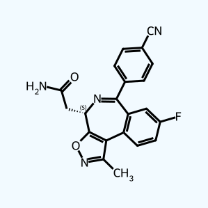 Cc1noc2c1-c1ccc(F)cc1C(c1ccc(C#N)cc1)=N[C@H]2CC(N)=O